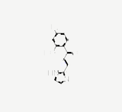 O=C(/C=C/c1ncc[nH]1)c1ccc(F)cc1O